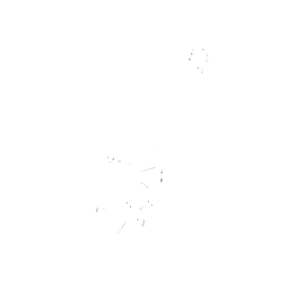 COc1c(OCCCCCCCn2ccnc2)ccc2c1CN1C(=N2)NC(=O)C1C(C)C